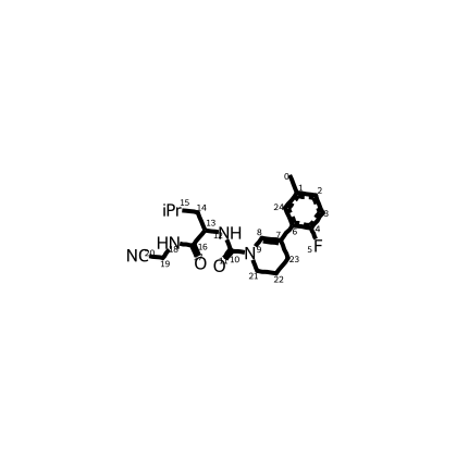 Cc1ccc(F)c(C2=CN(C(=O)NC(CC(C)C)C(=O)NCC#N)CCC2)c1